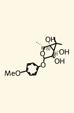 COc1ccc(OC2O[C@H](C)[C@@]3(O)C(C)(C)[C@@]3(O)[C@H]2O)cc1